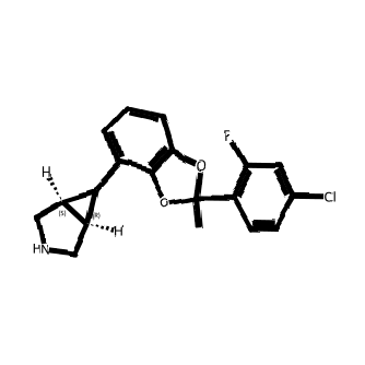 CC1(c2ccc(Cl)cc2F)Oc2cccc(C3[C@H]4CNC[C@@H]34)c2O1